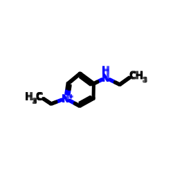 CCNc1cc[n+](CC)cc1